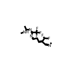 C/N=C\C(=C\C/C=N\C(=N/C(C)NC)C(F)(F)F)C(F)F